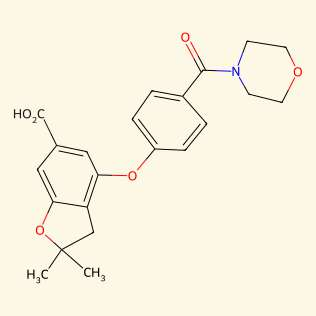 CC1(C)Cc2c(Oc3ccc(C(=O)N4CCOCC4)cc3)cc(C(=O)O)cc2O1